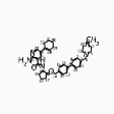 CN1CCN(Cc2ccc(-c3ccc(CO[C@H]4CCC[C@@H]4NC(=O)c4cc(C5=CCCCC5)cnc4N)cc3)cc2)CC1